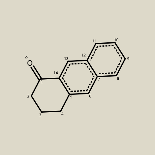 O=C1CCCc2cc3ccccc3cc21